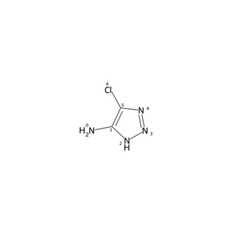 Nc1[nH]nnc1Cl